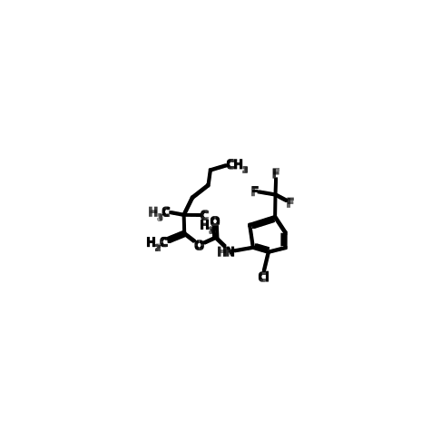 C=C(OC(=O)Nc1cc(C(F)(F)F)ccc1Cl)C(C)(C)CCCC